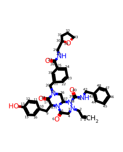 C=CCN1CC(=O)N2C(Cc3ccc(O)cc3)C(=O)N(Cc3cccc(C(=O)NCC4CCCO4)c3)CC2N1C(=O)NCc1ccccc1